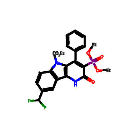 CCOC(=O)n1c2ccc(C(F)F)cc2c2[nH]c(=O)c(P(=O)(OCC)OCC)c(-c3ccccc3)c21